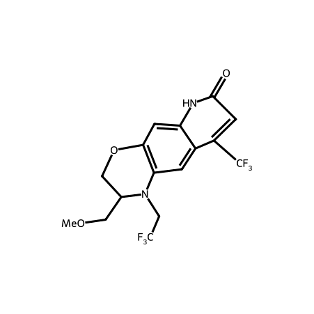 COCC1COc2cc3[nH]c(=O)cc(C(F)(F)F)c3cc2N1CC(F)(F)F